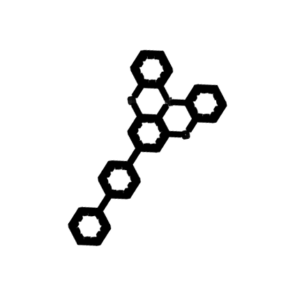 c1ccc(-c2ccc(-c3cc4c5c(c3)Oc3ccccc3N5c3ccccc3O4)cc2)cc1